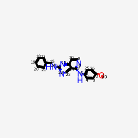 COc1ccc(Nc2nccc3nc(NCc4ccccc4)ncc23)cc1